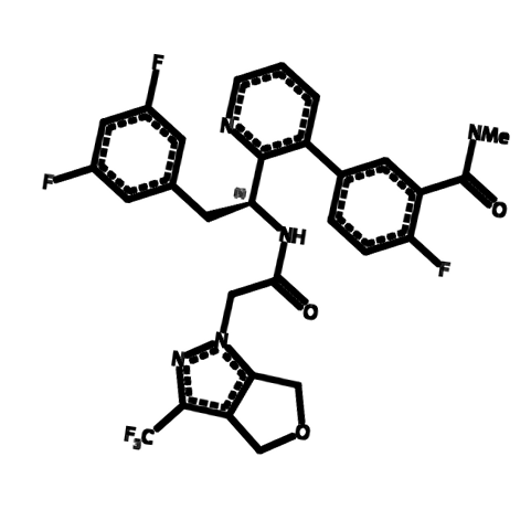 CNC(=O)c1cc(-c2cccnc2[C@H](Cc2cc(F)cc(F)c2)NC(=O)Cn2nc(C(F)(F)F)c3c2COC3)ccc1F